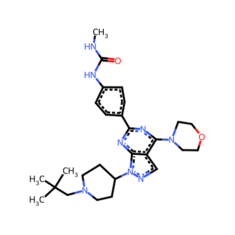 CNC(=O)Nc1ccc(-c2nc(N3CCOCC3)c3cnn(C4CCN(CC(C)(C)C)CC4)c3n2)cc1